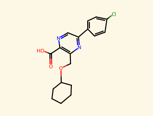 O=C(O)c1ncc(-c2ccc(Cl)cc2)nc1COC1CCCCC1